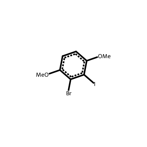 COc1ccc(OC)c(I)c1Br